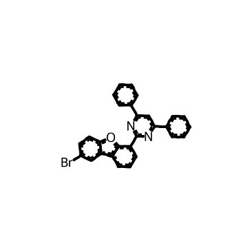 Brc1ccc2oc3c(-c4nc(-c5ccccc5)cc(-c5ccccc5)n4)cccc3c2c1